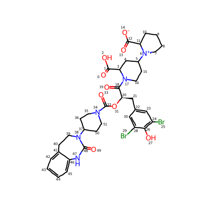 O=C(O)C1CC([N+]2CCCCC2C(=O)[O-])CCN1C(=O)[C@@H](Cc1cc(Br)c(O)c(Br)c1)OC(=O)N1CCC(N2CCc3ccccc3NC2=O)CC1